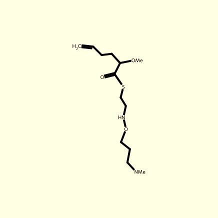 C=CCCC(OC)C(=O)SCCNOCCCNC